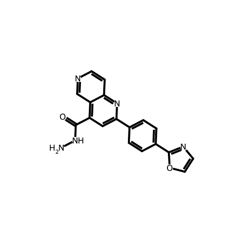 NNC(=O)c1cc(-c2ccc(-c3ncco3)cc2)nc2ccncc12